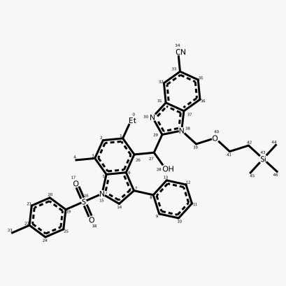 CCc1cc(C)c2c(c(-c3ccccc3)cn2S(=O)(=O)c2ccc(C)cc2)c1C(O)c1nc2cc(C#N)ccc2n1COCC[Si](C)(C)C